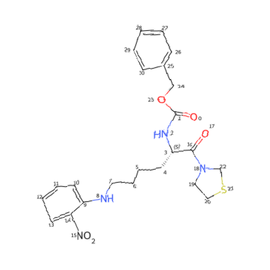 O=C(N[C@@H](CCCCNc1ccccc1[N+](=O)[O-])C(=O)N1CCSC1)OCc1ccccc1